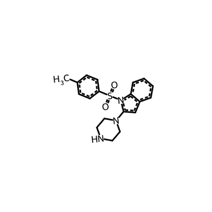 Cc1ccc(S(=O)(=O)n2c(N3CCNCC3)cc3ccccc32)cc1